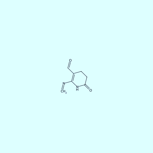 C=NC1=C(C=O)CCC(=O)N1